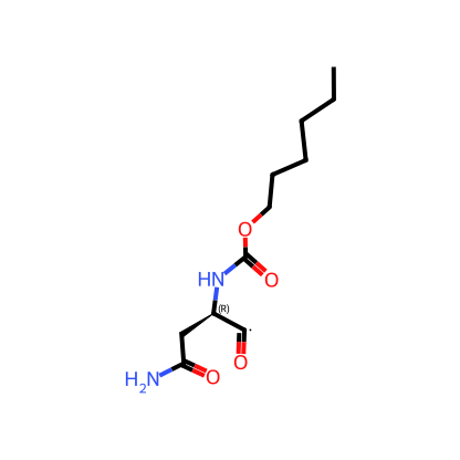 CCCCCCOC(=O)N[C@@H]([C]=O)CC(N)=O